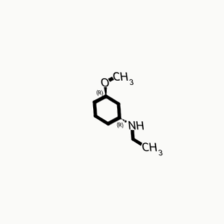 CCN[C@@H]1CCC[C@@H](OC)C1